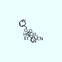 CCC(C)(NC(=O)OCC1=CC=CC=NC1)c1ccnc(C#N)n1